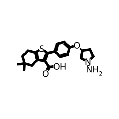 CC1(C)CCc2sc(-c3ccc(O[C@H]4CCN(N)C4)cc3)c(C(=O)O)c2C1